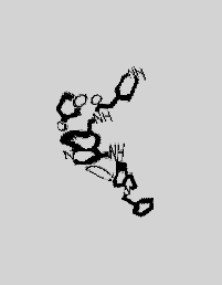 N#Cc1cnc2cc(OC3CCOC3)c(CNC(=O)C=C3CCNCC3)cc2c1Nc1ccc2c(ccn2Cc2ccccc2)c1